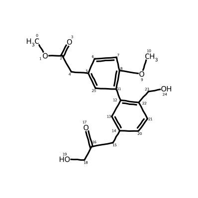 COC(=O)Cc1ccc(OC)c(-c2cc(CC(=O)CO)ccc2CO)c1